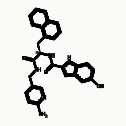 Nc1ccc(CNC(=O)[C@H](Cc2cccc3ccccc23)NC(=O)c2cc3cc(O)ccc3[nH]2)cn1